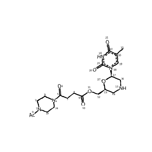 CC(=O)N1CCN(C(=O)CCC(=O)OC[C@@H]2CNC[C@H](n3cc(C)c(=O)[nH]c3=O)O2)CC1